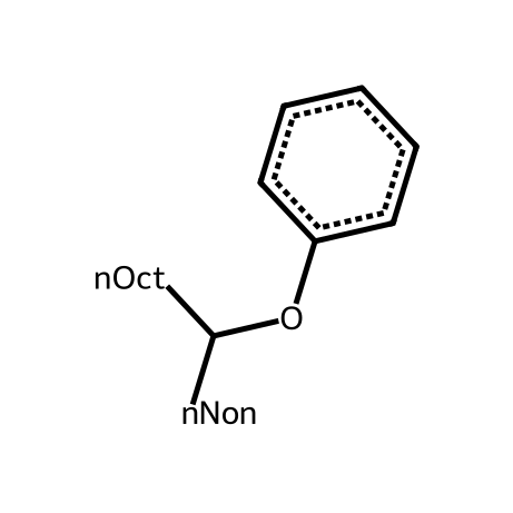 CCCCCCCCCC(CCCCCCCC)Oc1ccccc1